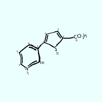 O=C(O)c1ccc(-c2cccnc2)s1